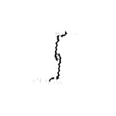 CCCCCCCCCC(CCCCCCC)CCOC(=O)CCCCCCCN1CC2CN(CCCCCCCC(=O)OCCC(CCCCCCCC)CCCCCCCC)CC(C1)O2